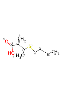 C=C(C(=O)O)C(C)SCCCC